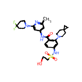 Cc1cc(NC(=O)c2ccc(NS(=O)(=O)CCO)cc2N2CCC3(CC2)CC3)cc(N2CCC(F)(F)CC2)n1